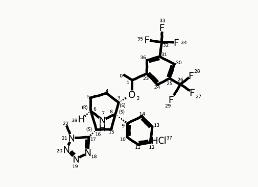 CC(O[C@H]1CC[C@H]2N[C@]1(c1ccccc1)C[C@@H]2c1nnnn1C)c1cc(C(F)(F)F)cc(C(F)(F)F)c1.Cl